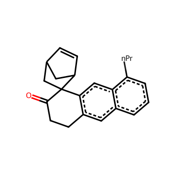 CCCc1cccc2cc3c(cc12)C1(CC2C=CC1C2)C(=O)CC3